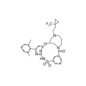 Cc1cccc(C)c1-c1cc2nc(n1)NS(=O)(=O)c1cccc(c1)C(=O)N1CCCN(CCC3(C(F)(F)F)CC3)CC(C1)O2